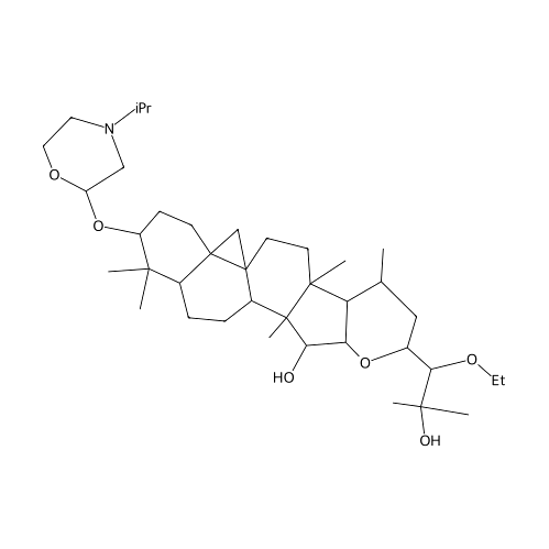 CCOC(C1CC(C)C2C(O1)C(O)C1(C)C3CCC4C(C)(C)C(OC5CN(C(C)C)CCO5)CCC45CC35CCC21C)C(C)(C)O